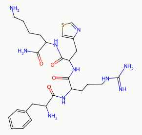 N=C(N)NCCCC(NC(=O)C(N)Cc1ccccc1)C(=O)NC(Cc1cscn1)C(=O)NC(CCCCN)C(N)=O